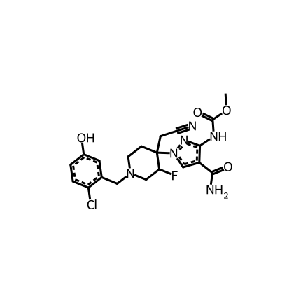 COC(=O)Nc1nn(C2(CC#N)CCN(Cc3cc(O)ccc3Cl)CC2F)cc1C(N)=O